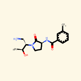 CCC[C@H](O)[C@H](CN)N1CC[C@H](NC(=O)c2cccc(C(F)(F)F)c2)C1=O